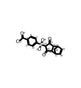 O=C(Cl)c1ccc(S(=O)(=O)C2C(=O)C3C4C=CC(C4)C3C2=O)cc1